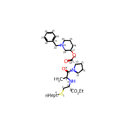 CCCCCCCSC[C@H](NC(C)C(=O)N1CCC[C@H]1C(=O)OC1CCCN(Cc2ccccc2)C1)C(=O)OCC